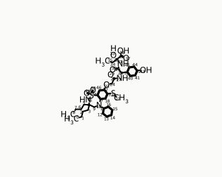 CCCCC1(CCCC)CN(c2ccccc2)c2cc(SC)c(OCC(=O)N[C@@H](C(=O)N[C@](O)(CC)C(=O)O)c3ccc(O)cc3)cc2S(=O)(=O)N1